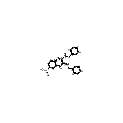 O=[N+]([O-])c1ccc2nc(NCc3ccccc3)c(NCc3ccccc3)nc2c1